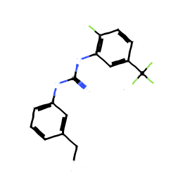 CCc1cccc(NC(=N)Nc2cc(C(F)(F)F)ccc2F)c1